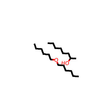 CCCCCCC(C)O.CCCCCCOCCCCCC